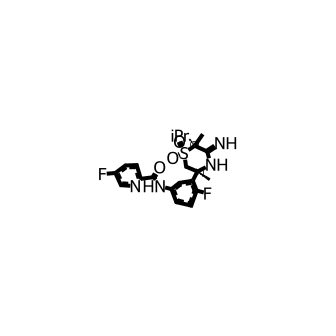 CC(C)[C@]1(C)C(=N)N[C@](C)(c2cc(NC(=O)c3ccc(F)cn3)ccc2F)CS1(=O)=O